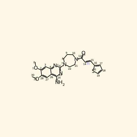 COc1cc2nc(N3CCCN(C(=O)/C=C/c4cccs4)CC3)nc(N)c2cc1OC